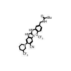 CC(C)(C)C(=O)NCc1ccc(OC(F)(F)F)c(Nc2nc3cc(C#N)c(N4CCCC(C(F)(F)F)C4)cc3[nH]2)c1